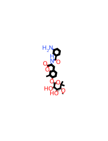 CO[C@@H]1[C@@H](O)[C@@H](O)[C@H](Oc2ccc3cc(NC(=O)c4cccc(N)c4)c(=O)oc3c2C)OC1(C)C